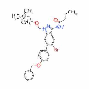 CCCC(=O)Nc1nn(COCC[Si](C)(C)C)c2cc(-c3ccc(OCc4ccccc4)cc3)c(Br)cc12